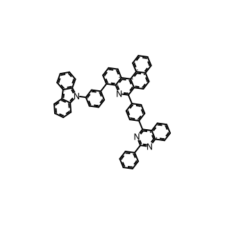 c1ccc(-c2nc(-c3ccc(-c4nc5c(-c6cccc(-n7c8ccccc8c8ccccc87)c6)cccc5c5c4ccc4ccccc45)cc3)c3ccccc3n2)cc1